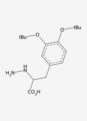 CC(C)(C)Oc1ccc(CC(NN)C(=O)O)cc1OC(C)(C)C